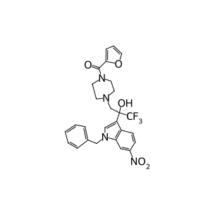 O=C(c1ccco1)N1CCN(CC(O)(c2cn(Cc3ccccc3)c3cc([N+](=O)[O-])ccc23)C(F)(F)F)CC1